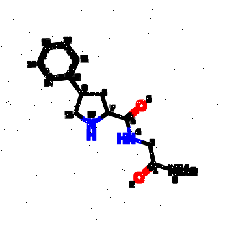 CNC(=O)CNC(=O)C1CC(c2ccccc2)CN1